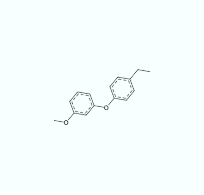 CCc1ccc(Oc2cccc(OC)c2)cc1